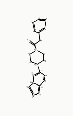 O=C(Cc1ccccc1)N1CCN(c2ccc3nncn3n2)CC1